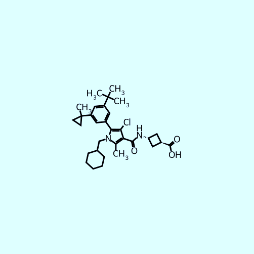 Cc1c(C(=O)N[C@H]2C[C@H](C(=O)O)C2)c(Cl)c(-c2cc(C(C)(C)C)cc(C3(C)CC3)c2)n1CC1CCCCC1